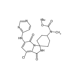 CN(C(=O)OC(C)(C)C)C1CCC2(CC1)NC(=O)c1c(Cl)cc(Nc3ccncn3)c(=O)n12